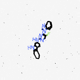 Fc1cnc(Nc2ccc3c4c([nH]c3c2)CCCC4)nc1-n1cnc2ccccc21